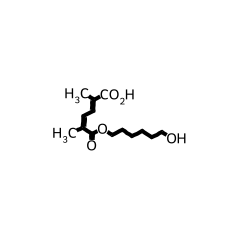 CC(=CC=C(C)C(=O)OCCCCCCO)C(=O)O